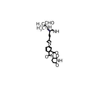 CC(C)(C=O)N/C=C(/C#CC1CN(c2ccc3c(c2)C(=O)N(C2CCC(=O)NC2=O)C3=O)C1)C=N